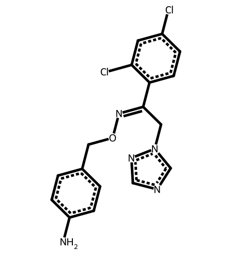 Nc1ccc(CON=C(Cn2cncn2)c2ccc(Cl)cc2Cl)cc1